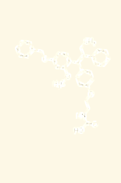 CCC(=C(c1ccc(OCCNC(=O)O)cc1)c1ccc(OCc2ccccc2)cc1OC)c1ccccc1